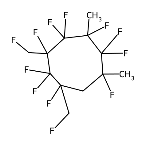 CC1(F)CC(F)(CF)C(F)(F)C(F)(CF)C(F)(F)C(C)(F)C1(F)F